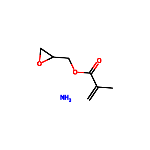 C=C(C)C(=O)OCC1CO1.N